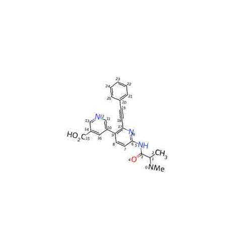 CNC(C)C(=O)Nc1ccc(-c2cncc(C(=O)O)c2)c(C#Cc2ccccc2)n1